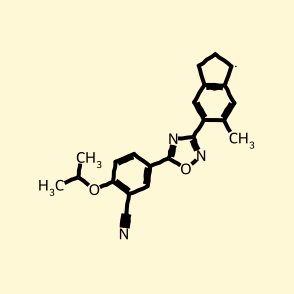 Cc1cc2c(cc1-c1noc(-c3ccc(OC(C)C)c(C#N)c3)n1)CC[CH]2